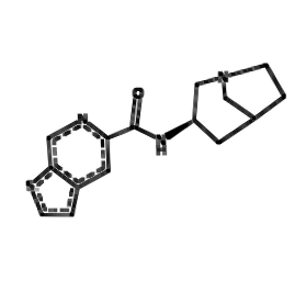 O=C(N[C@@H]1CC2CCN(C2)C1)c1cc2ccsc2cn1